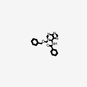 O=C(NC1C2=C([N]C=N2)N=CN1COCc1ccccc1)c1ccccc1